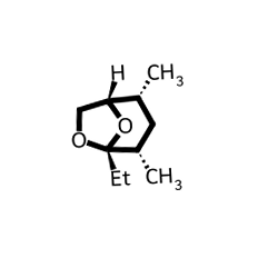 CC[C@@]12OC[C@@H](O1)[C@H](C)C[C@@H]2C